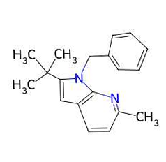 Cc1ccc2cc(C(C)(C)C)n(Cc3ccccc3)c2n1